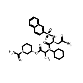 CC(C(=O)O[C@H]1CCCN(C(=N)N)C1)N(C(=O)[C@H](CC(N)=O)NS(=O)(=O)c1ccc2ccccc2c1)C1CCCCC1